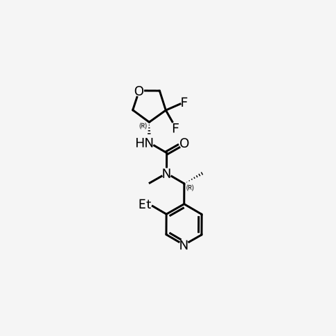 CCc1cnccc1[C@@H](C)N(C)C(=O)N[C@@H]1COCC1(F)F